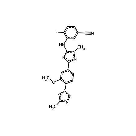 COc1cc(-c2nc(Nc3cc(C#N)ccc3F)n(C)n2)ccc1-n1cnc(C)c1